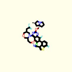 C[C@H]1CN2CCC[C@@]2(COc2nc3c4c(c(Cl)c(-c5ccc(F)c6scc(C#N)c56)c(F)c4n2)OCCC2COCC(CC(F)F)CN32)C1